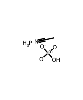 CC#N.P.[O-][I+3]([O-])([O-])O